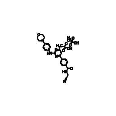 CS(=O)(=O)O.CS(=O)(=O)O.N#CCNC(=O)c1ccc(-c2ccnc(Nc3ccc(N4CCOCC4)cc3)n2)cc1